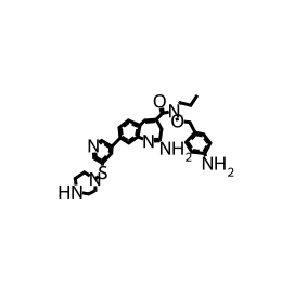 CCCN(OCc1ccc(N)cc1)C(=O)C1=Cc2ccc(-c3cncc(SN4CCNCC4)c3)cc2N=C(N)C1